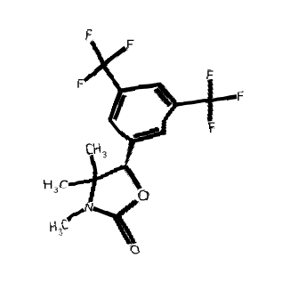 CN1C(=O)O[C@H](c2cc(C(F)(F)F)cc(C(F)(F)F)c2)C1(C)C